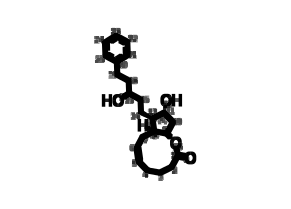 O=C1CCCC=CC[C@H]2C(C[C@@H](O)[C@@H]2CCC(O)CCc2ccccc2)O1